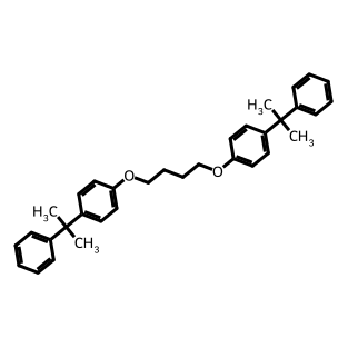 CC(C)(c1ccccc1)c1ccc(OCCCCOc2ccc(C(C)(C)c3ccccc3)cc2)cc1